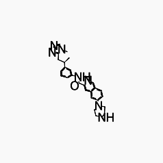 C[C@H](Cc1nncn1C)c1cccc(NC(=O)c2cc3cc(N4CCNCC4)ccc3cn2)c1